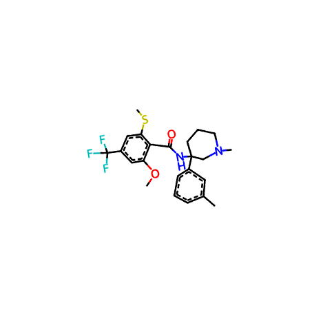 COc1cc(C(F)(F)F)cc(SC)c1C(=O)NC1(c2cccc(C)c2)CCCN(C)C1